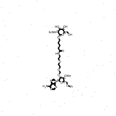 CO[C@H]1[C@@H](OCOCCOCCNC(=O)CCCCO[C@@H]2O[C@H](CO)[C@H](O)[C@H](O)[C@H]2NC(C)=O)[C@H](n2cnc3c(N)ncnc32)O[C@@H]1COC(C)C